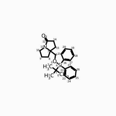 CC(C)(C)[Si](OCC12CCCN1C(=O)CC2)(c1ccccc1)c1ccccc1